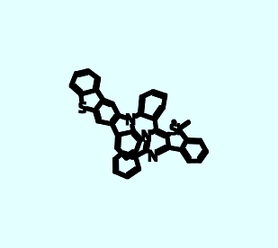 C[Si]1(C)c2ccccc2-c2nc(-c3ccccc3)nc(-c3ccccc3-n3c4ccccc4c4cc5sc6ccccc6c5cc43)c21